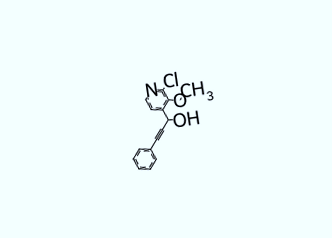 COc1c(C(O)C#Cc2ccccc2)ccnc1Cl